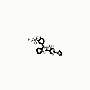 CP(=O)(O)c1cccc(C(NC(=O)c2cnc(-n3cccn3)nc2O)c2ccccc2)c1